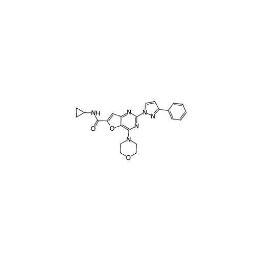 O=C(NC1CC1)c1cc2nc(-n3ccc(-c4ccccc4)n3)nc(N3CCOCC3)c2o1